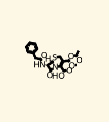 COC(OC(C)=O)C1=C(C(=O)O)N2C(=O)[C@H](NC(=O)Cc3ccccc3)[C@H]2SC1